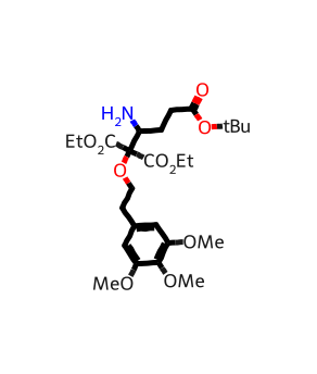 CCOC(=O)C(OCCc1cc(OC)c(OC)c(OC)c1)(C(=O)OCC)C(N)CCC(=O)OC(C)(C)C